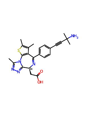 Cc1sc2c(c1C)C(c1ccc(C#CC(C)(C)N)cc1)=N[C@@H](CC(=O)O)c1nnc(C)n1-2